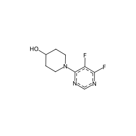 OC1CCN(c2ncnc(F)c2F)CC1